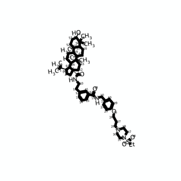 C=C(C)[C@@H]1CC[C@]2(C(=O)NCCc3cccc(C(=O)NCc4ccc(OCCCN5CCN(S(=O)(=O)CC)CC5)cc4)c3)CC[C@]3(C)C(CCC4[C@@]5(C)CC[C@H](O)C(C)(C)C5CC[C@]43C)C12